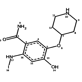 NC(=O)c1cc(OC2CCNCC2)c(O)cc1NI